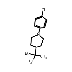 CCC(C)(C)N1CCN(c2ccc(Cl)cc2)CC1